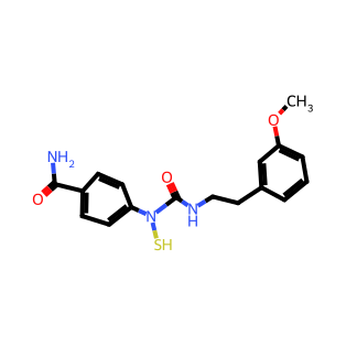 COc1cccc(CCNC(=O)N(S)c2ccc(C(N)=O)cc2)c1